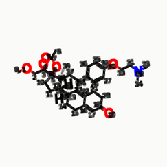 COCC(=O)[C@@]1(OC(C)=O)CC[C@H]2[C@@H]3CCC4=CC(=O)CCC4=C3[C@@H](c3ccc(OCCN(C)C)cc3)C[C@@]21C